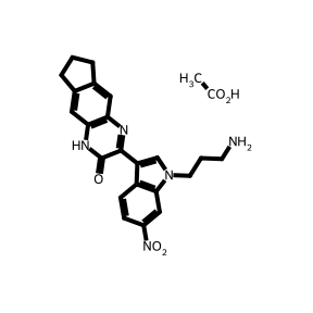 CC(=O)O.NCCCn1cc(-c2nc3cc4c(cc3[nH]c2=O)CCC4)c2ccc([N+](=O)[O-])cc21